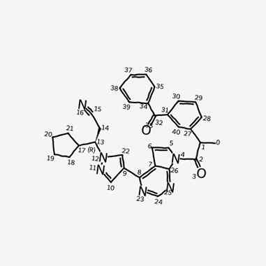 CC(C(=O)n1ccc2c(-c3cnn([C@H](CC#N)C4CCCC4)c3)ncnc21)c1cccc(C(=O)c2ccccc2)c1